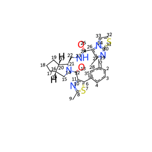 Cc1cccc(-c2sc(C)nc2C(=O)N2C[C@@H]3CCC[C@@H]3[C@H]2CNC(=O)c2c(C)nc3sccn23)c1